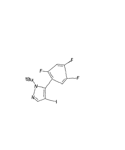 CC(C)(C)n1ncc(I)c1-c1cc(F)c(F)cc1F